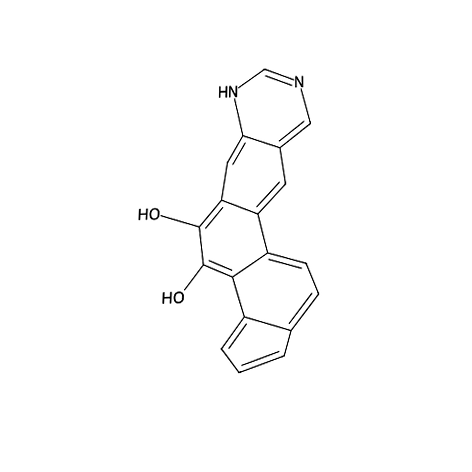 Oc1c(O)c2c3cccc3ccc2c2cc3cnc[nH]c3cc12